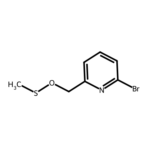 CSOCc1cccc(Br)n1